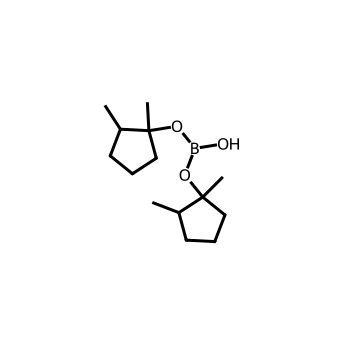 CC1CCCC1(C)OB(O)OC1(C)CCCC1C